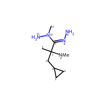 CNC(C)(CC1CC1)/C(=N/N)N(C)N